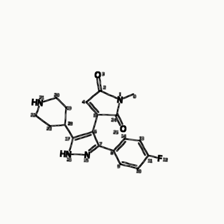 CN1C(=O)C=C(c2c(-c3ccc(F)cc3)n[nH]c2C2CCNCC2)C1=O